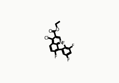 CCOC(=O)c1cnc2c(-c3cc(F)cc(F)c3F)c(F)ccc2c1Cl